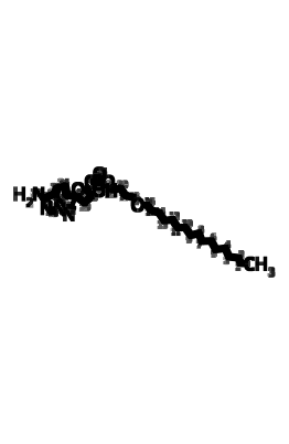 CCCCCCCCCCCCCCCCCOCCCCOP(=O)(O)O[C@@H]1CC[C@](C#N)(c2ccc3c(N)ncnn23)O1